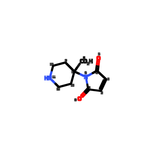 O=C1C=CC(=O)N1C1(C(=O)O)CCNCC1